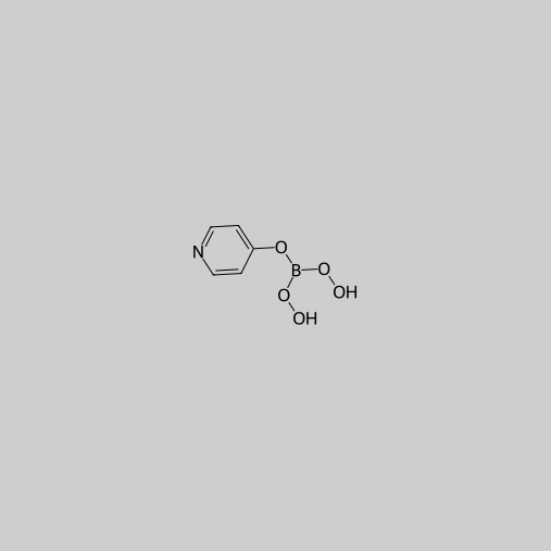 OOB(OO)Oc1ccncc1